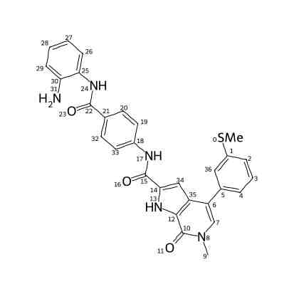 CSc1cccc(-c2cn(C)c(=O)c3[nH]c(C(=O)Nc4ccc(C(=O)Nc5ccccc5N)cc4)cc23)c1